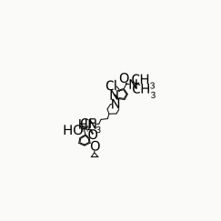 CN(C)C(=O)c1ccc(N2CCC(CCCNC(=O)[C@](O)(c3cccc(OC4CC4)c3)C(F)(F)F)CC2)nc1Cl